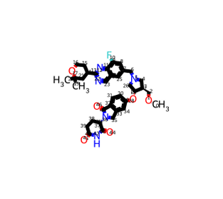 COC[C@@H]1CN(Cc2cc(F)c3nc(C4CCOC(C)(C)C4)ncc3c2)C[C@H]1Oc1ccc2c(c1)CN([C@H]1CCC(=O)NC1=O)C2=O